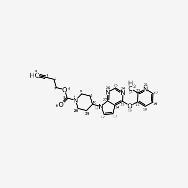 C#CCCOC(=O)N1CCC(n2ccc3c(Oc4cccnc4C)ncnc32)CC1